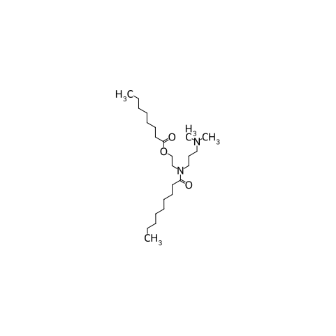 CCCCCCCCC(=O)N(CCCN(C)C)CCOC(=O)CCCCCCC